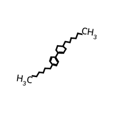 CCCCCCCc1ccc(C2=CCC(CCCCCCC)CC2)cc1